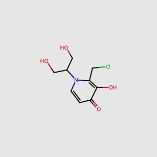 O=c1ccn(C(CO)CO)c(CCl)c1O